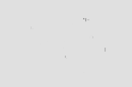 NC(=O)c1oc2c(F)cc(F)cc2c1NC(=O)c1ccc(CN2CCCCC2)o1